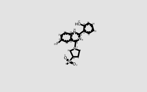 CS(=O)(=O)C1CCN(c2nc(-c3ccccc3O)nc3ccc(F)cc23)C1